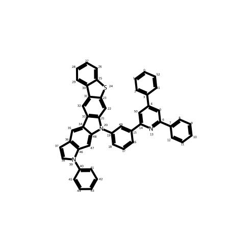 c1ccc(-c2cc(-c3ccccc3)nc(-c3cccc(-n4c5cc6sc7ccccc7c6cc5c5cc6ccn(-c7ccccc7)c6cc54)c3)c2)cc1